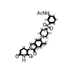 CC(=O)Nc1cccc(S(=O)(=O)N2CCN(c3cc4c(cc3F)C(=O)N(C3CCC(=O)NC3=O)C4)CC2)c1